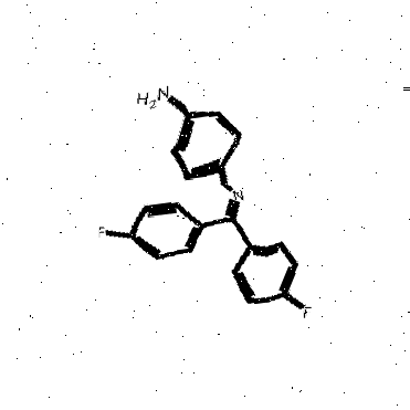 Nc1ccc(N=C(c2ccc(F)cc2)c2ccc(F)cc2)cc1